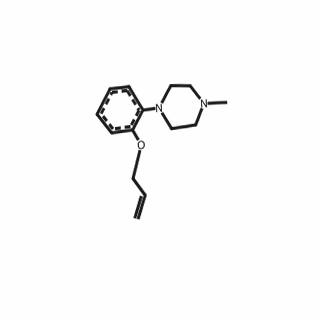 C=CCOc1ccccc1N1CCN(C)CC1